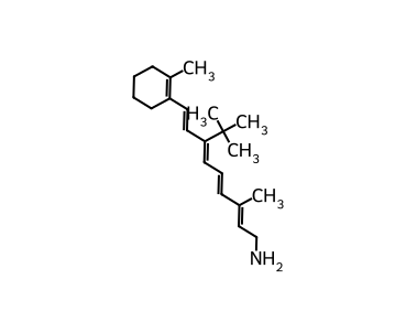 CC1=C(/C=C/C(=C/C=C/C(C)=C/CN)C(C)(C)C)CCCC1